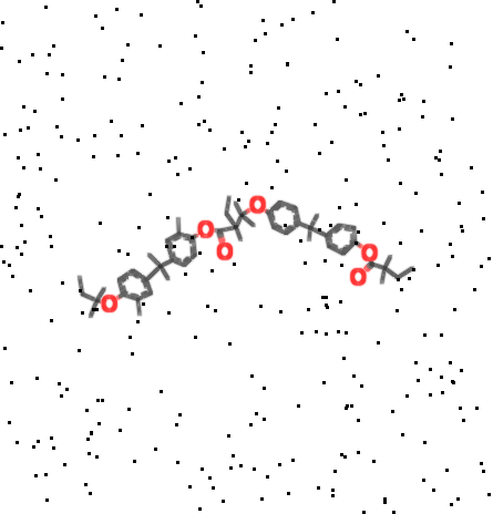 CCC(C)(C)Oc1ccc(C(C)(C)c2ccc(OC(=O)C(C)(CC)C(C)(C)Oc3ccc(C(C)(C)c4ccc(OC(=O)C(C)(C)CC)cc4)cc3)c(C)c2)cc1C